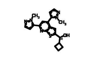 Cn1nccc1-c1cc(-c2ccnn2C)c2cc([C@@H](O)C3CCC3)sc2n1